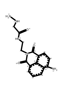 NNCC(=O)NCCN1C(=O)c2cccc3c(N)ccc(c23)C1=O